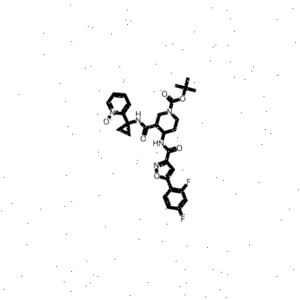 CC(C)(C)OC(=O)N1CCC(NC(=O)c2cc(-c3ccc(F)cc3F)on2)C(C(=O)NC2(c3cccc[n+]3[O-])CC2)C1